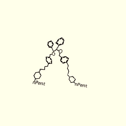 CCCCCC1CCC(CCCCc2ccc(CO[C@H](c3ccccc3)[C@H](OCc3ccc(CCCCC4CCC(CCCCC)CC4)cc3)c3ccccc3)cc2)CC1